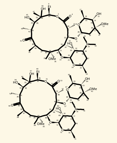 CC[C@H]1OC(=O)[C@H](C)[C@@H](O[C@H]2C[C@@](C)(OC)[C@@H](O)[C@H](C)O2)[C@H](C)[C@@H](O[C@@H]2O[C@H](C)C[C@H](N(C)C)[C@H]2O)[C@](C)(OC)C[C@@H](C)C(=O)[C@H](C)[C@@H](O)[C@]1(C)O.CC[C@H]1OC(=O)[C@H](C)[C@@H](O[C@H]2C[C@@](C)(OC)[C@@H](O)[C@H](C)O2)[C@H](C)[C@@H](O[C@@H]2O[C@H](C)C[C@H](N(C)C)[C@H]2O)[C@](C)(OC)C[C@@H](C)C(=O)[C@H](C)[C@@H](O)[C@]1(C)O